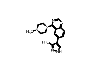 Cc1n[nH]cc1-c1ccc2ncnc(N3CCN(C)CC3)c2c1